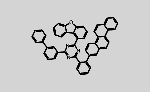 c1ccc(-c2cccc(-c3nc(-c4ccccc4-c4ccc5c(ccc6c7ccccc7ccc56)c4)nc(-c4cccc5oc6ccccc6c45)n3)c2)cc1